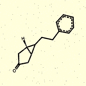 O=C1CC2C(CCc3ccccc3)[C@H]2C1